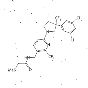 CSCC(=O)NCc1ccc(N2CCC(c3cc(Cl)cc(Cl)c3)(C(F)(F)F)C2)nc1C(F)(F)F